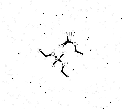 CCOC(N)=O.CCO[Si](C)(C)OCC